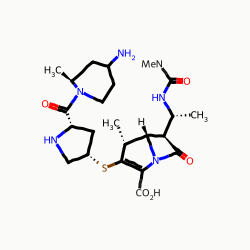 CNC(=O)N[C@H](C)[C@H]1C(=O)N2C(C(=O)O)=C(S[C@@H]3CN[C@H](C(=O)N4CCC(N)C[C@@H]4C)C3)[C@H](C)[C@H]12